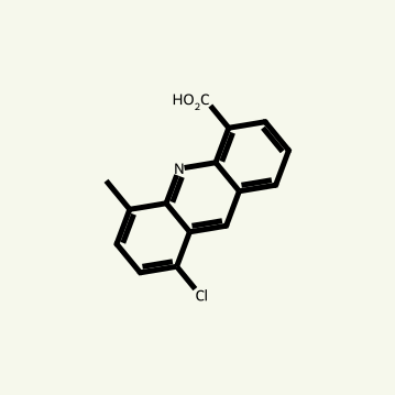 Cc1ccc(Cl)c2cc3cccc(C(=O)O)c3nc12